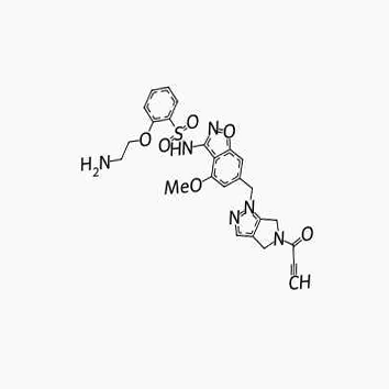 C#CC(=O)N1Cc2cnn(Cc3cc(OC)c4c(NS(=O)(=O)c5ccccc5OCCN)noc4c3)c2C1